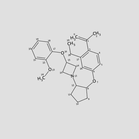 C=C(C)c1ccc(OC2CCCC2N2CC(Oc3ccccc3OC)C2)cc1CC